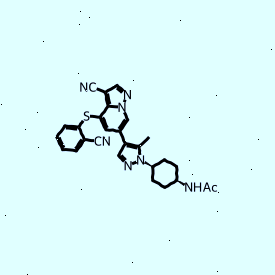 CC(=O)N[C@H]1CC[C@@H](n2ncc(-c3cc(Sc4ccccc4C#N)c4c(C#N)cnn4c3)c2C)CC1